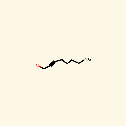 CCCCCCCCC#CC[O]